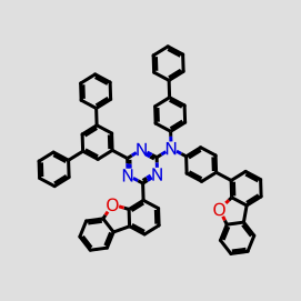 c1ccc(-c2ccc(N(c3ccc(-c4cccc5c4oc4ccccc45)cc3)c3nc(-c4cc(-c5ccccc5)cc(-c5ccccc5)c4)nc(-c4cccc5c4oc4ccccc45)n3)cc2)cc1